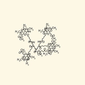 CCC(=O)CCC(=O)OC(CC)C(=O)N(CCN(CCNC(=O)CCCCO[C@@H]1OC(COC(C)=O)[C@H](OC(C)=O)[C@H](OC(C)=O)C1NC(C)=O)C(=O)CCCCO[C@@H]1OC(COC(C)=O)[C@H](OC(C)=O)[C@H](OC(C)=O)C1NC(C)=O)CCN(CCNC(=O)CCCCO[C@@H]1OC(COC(C)=O)[C@H](OC(C)=O)[C@H](OC(C)=O)C1NC(C)=O)C(=O)CCCCO[C@@H]1OC(COC(C)=O)[C@H](OC(C)=O)[C@H](OC(C)=O)C1NC(C)=O